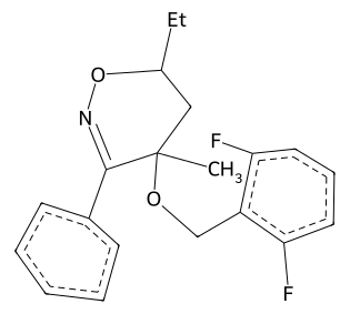 CCC1CC(C)(OCc2c(F)cccc2F)C(c2ccccc2)=NO1